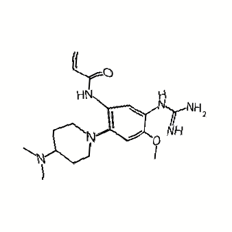 C=CC(=O)Nc1cc(NC(=N)N)c(OC)cc1N1CCC(N(C)C)CC1